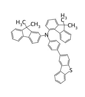 CC1(C)c2ccccc2-c2ccc(N(c3ccc(-c4ccc5sc6ccccc6c5c4)cc3)c3cccc4c3-c3ccccc3C4(C)C)cc21